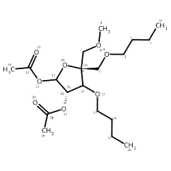 CCCCOC[C@]1(COC)OC(OC(C)=O)[C@@H](OC(C)=O)C1OCCCC